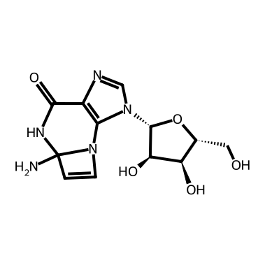 NC12C=CN1c1c(ncn1[C@@H]1O[C@H](CO)[C@@H](O)[C@H]1O)C(=O)N2